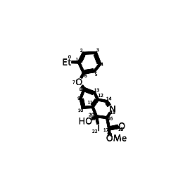 CCc1ccccc1Oc1ccc2c(c1)C=NC(C(=O)OC)C2(O)I